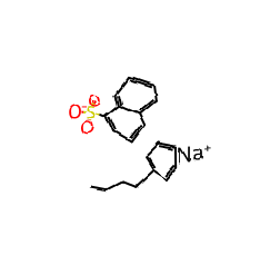 CCCCc1ccccc1.O=S(=O)([O-])c1cccc2ccccc12.[Na+]